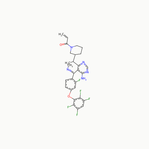 C=CC(=O)N1CCCC(C(C)c2ncnc(N)c2/C(=N\C)c2ccc(Oc3c(F)c(F)cc(F)c3F)cc2F)C1